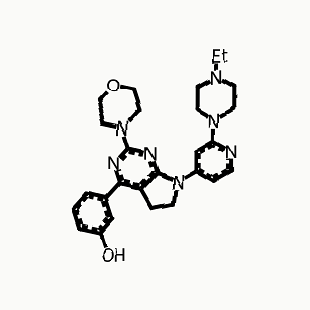 CCN1CCN(c2cc(N3CCc4c(-c5cccc(O)c5)nc(N5CCOCC5)nc43)ccn2)CC1